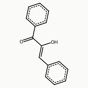 O=C(C(O)=Cc1ccccc1)c1ccccc1